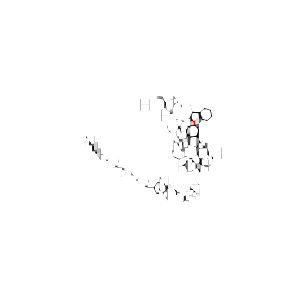 CC[C@]1(O)C[C@@H]2C[N@@](CCc3c([nH]c4ccccc34)[C@@](C(=O)OC)(c3cc4c(cc3OC)N(C)[C@H]3[C@@](O)(C(=O)NCCC[Si](C)(C)O[Si](C)(C)CSc5ncc(COCCOCCOCCN=[N+]=[N-])cn5)[C@H](O)[C@]5(CC)C=CCN6CC[C@]43[C@@H]65)C2)C1